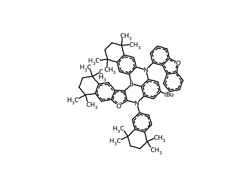 CC(C)(C)c1cc2c3c(c1)N(c1cccc4oc5ccccc5c14)c1cc4c(cc1B3c1c(oc3cc5c(cc13)C(C)(C)CCC5(C)C)N2c1ccc2c(c1)C(C)(C)CCC2(C)C)C(C)(C)CCC4(C)C